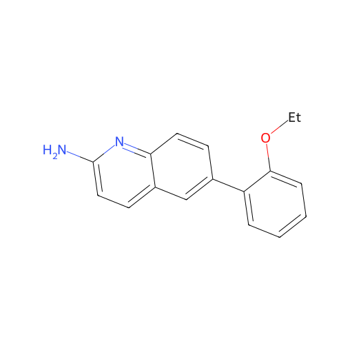 CCOc1ccccc1-c1ccc2nc(N)ccc2c1